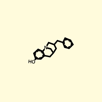 Oc1ccc2c(c1)CC1CC(Cc3ccccc3)CN2C1